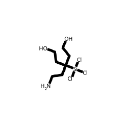 NCCC(CCO)(CCO)[Si](Cl)(Cl)Cl